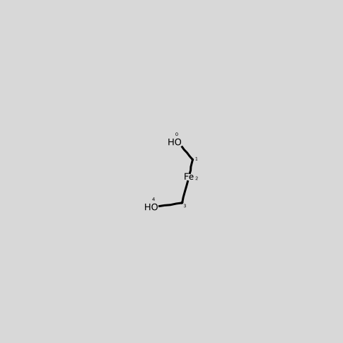 O[CH2][Fe][CH2]O